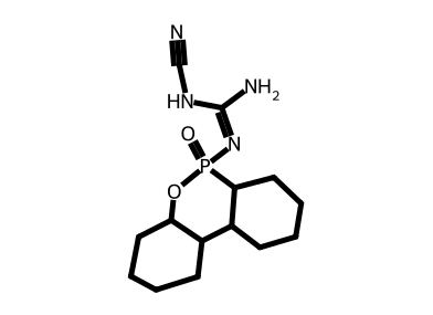 N#CNC(N)=NP1(=O)OC2CCCCC2C2CCCCC21